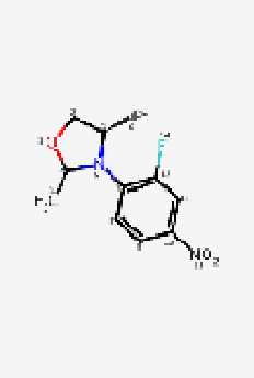 CC(C)[C@@H]1COC(C(F)(F)F)N1c1ccc([N+](=O)[O-])cc1F